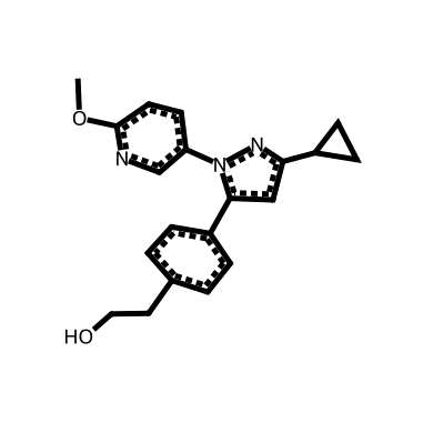 COc1ccc(-n2nc(C3CC3)cc2-c2ccc(CCO)cc2)cn1